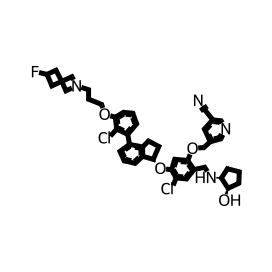 N#Cc1cncc(COc2cc(O[C@H]3CCc4c(-c5cccc(OCCCN6CC7(CC(F)C7)C6)c5Cl)cccc43)c(Cl)cc2CN[C@@H]2CCC[C@H]2O)c1